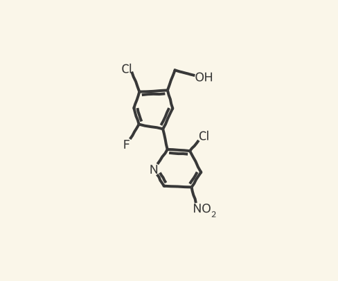 O=[N+]([O-])c1cnc(-c2cc(CO)c(Cl)cc2F)c(Cl)c1